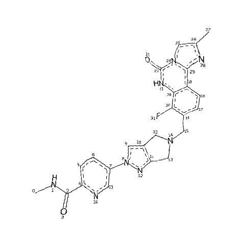 CNC(=O)c1ccc(-n2cc3c(n2)CN(Cc2ccc4c([nH]c(=O)n5cc(C)nc45)c2F)C3)cn1